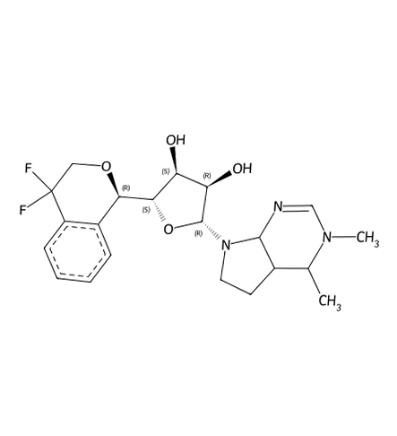 CC1C2CCN([C@@H]3O[C@H]([C@@H]4OCC(F)(F)c5ccccc54)[C@@H](O)[C@H]3O)C2N=CN1C